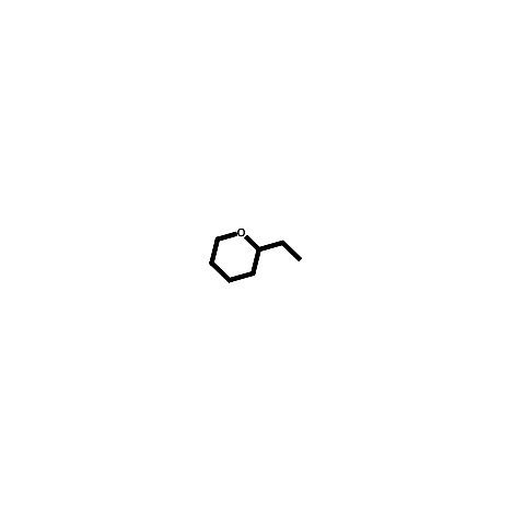 CCC1C[CH]CCO1